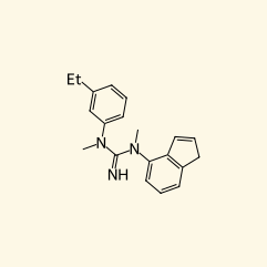 CCc1cccc(N(C)C(=N)N(C)c2cccc3c2C=CC3)c1